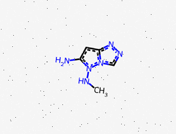 CNn1c(N)cc2nncn21